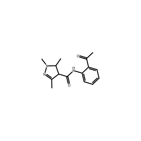 CC(=O)c1ccccc1NC(=O)C1C(C)=NN(C)C1C